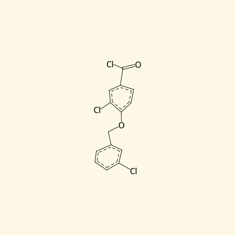 O=C(Cl)c1ccc(OCc2cccc(Cl)c2)c(Cl)c1